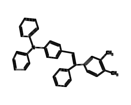 Cc1ccc(/C(=C/c2ccc(N(c3ccccc3)c3ccccc3)cc2)c2ccccc2)cc1C